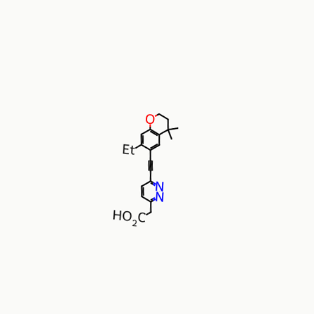 CCc1cc2c(cc1C#Cc1ccc(CC(=O)O)nn1)C(C)(C)CCO2